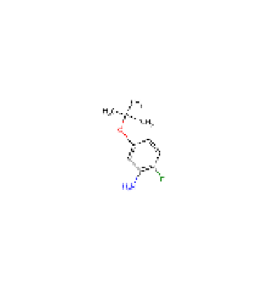 CC(C)(C)Oc1ccc(F)c(N)c1